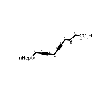 CCCCCCCCC#CCC#CCSCC(=O)O